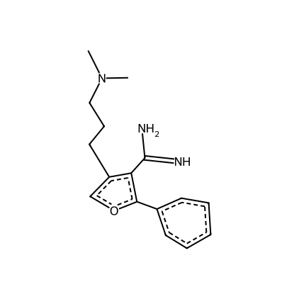 CN(C)CCCc1coc(-c2ccccc2)c1C(=N)N